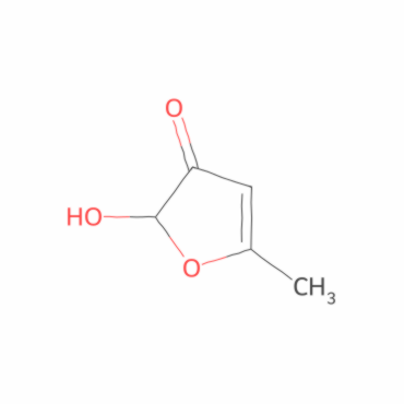 CC1=CC(=O)C(O)O1